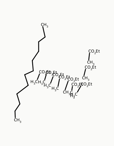 CCCCCCCCCCCC.CCOC(C)=O.CCOC(C)=O.CCOC(C)=O.CCOC(C)=O.CCOC(C)=O.CCOC(C)=O.CCOC(C)=O.CCOC(C)=O.CCOC(C)=O